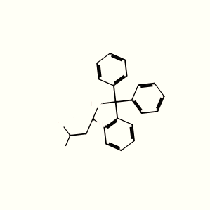 CC(C[C@](NC(c1ccccc1)(c1ccccc1)c1ccccc1)(C(=O)O)C(C)(C)C)C(=O)O